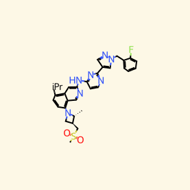 CC(C)c1ccc(N2C[C@H](CS(C)(=O)=O)[C@H]2C)c2cnc(Nc3ccnc(-c4cnn(Cc5ccccc5F)c4)n3)cc12